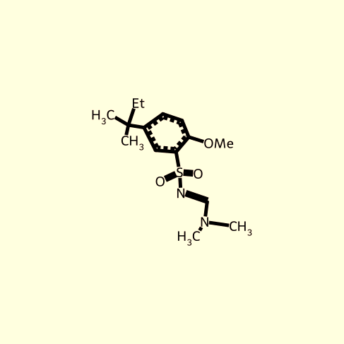 CCC(C)(C)c1ccc(OC)c(S(=O)(=O)N=CN(C)C)c1